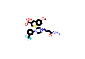 COc1ccc2c(c1)C=C(C(=O)O)CS2.NC(=O)CCCN1CCN(c2cccc(C(F)(F)F)c2)CC1